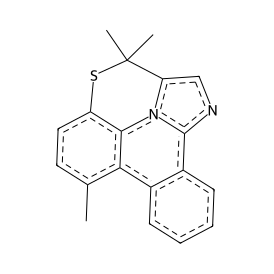 Cc1ccc2c3c1c1ccccc1c1ncc(n13)C(C)(C)S2